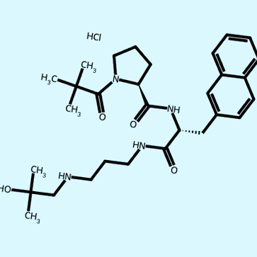 CC(C)(O)CNCCCNC(=O)[C@@H](Cc1ccc2ccccc2c1)NC(=O)[C@@H]1CCCN1C(=O)C(C)(C)C.Cl